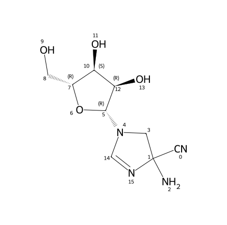 N#CC1(N)CN([C@@H]2O[C@H](CO)[C@@H](O)[C@H]2O)C=N1